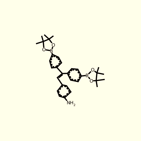 CC1(C)OB(c2ccc(C(=Cc3ccc(N)cc3)c3ccc(B4OC(C)(C)C(C)(C)O4)cc3)cc2)OC1(C)C